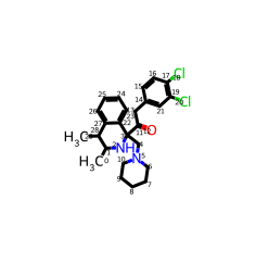 CC1NC(CN2CCCCC2)(C(=O)Cc2ccc(Cl)c(Cl)c2)c2ccccc2C1C